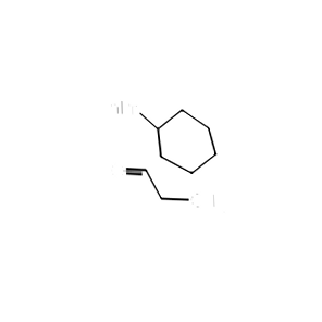 CCC=O.CCCC1CCCCC1